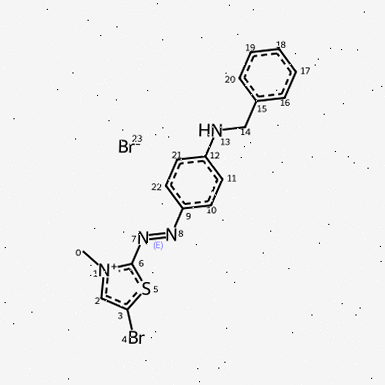 C[n+]1cc(Br)sc1/N=N/c1ccc(NCc2ccccc2)cc1.[Br-]